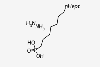 CCCCCCCCCCCCCCP(=O)(O)O.N.N